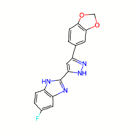 Fc1ccc2[nH]c(-c3cc(-c4ccc5c(c4)OCO5)n[nH]3)nc2c1